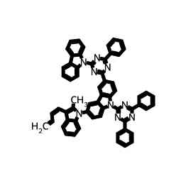 C=C/C=C\c1c(C)n(-c2ccc3c(c2)c2cc(-c4nc(-c5ccccc5)nc(-n5c6ccccc6c6ccccc65)n4)ccc2n3-c2nc(-c3ccccc3)nc(-c3ccccc3)n2)c2ccccc12